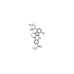 CCC(O)c1ccc(Cl)c2nc3n(c12)CCCN3c1ccc(C(C)=O)cc1Cl